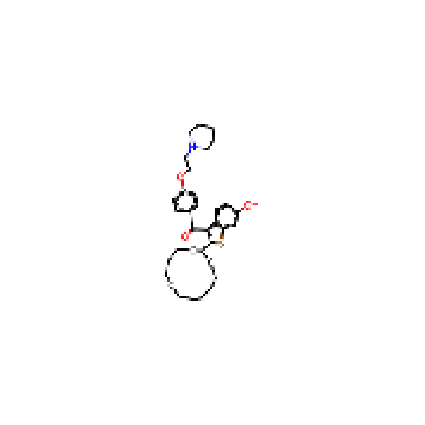 O=C(c1ccc(OCCN2CCCCC2)cc1)c1c(C2CCCCCCCCCCC2)sc2cc(O)ccc12